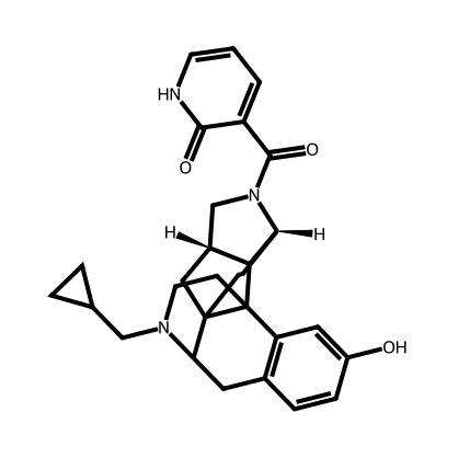 O=C(c1ccc[nH]c1=O)N1C[C@H]2CC34CC[C@@H]1C2C31CCN(CC2CC2)C4Cc2ccc(O)cc21